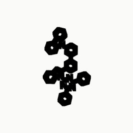 c1ccc(-c2nc(-c3ccccc3)nc(-n3c(-c4cccc(-c5cccc(-n6c7ccccc7c7ccccc76)c5)c4)cc4ccccc43)n2)cc1